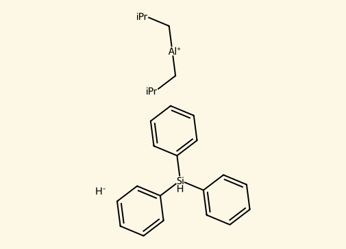 CC(C)[CH2][Al+][CH2]C(C)C.[H-].c1ccc([SiH](c2ccccc2)c2ccccc2)cc1